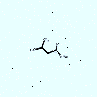 CN[C@@H](CC(C(F)(F)F)C(F)(F)F)C(C)=O